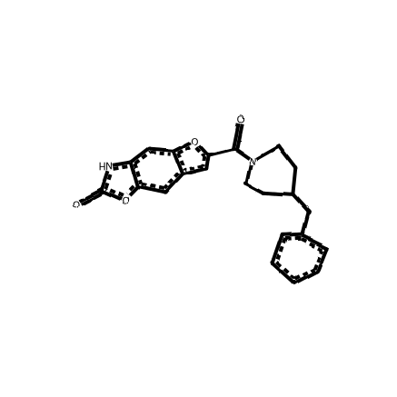 O=C(c1cc2cc3oc(=O)[nH]c3cc2o1)N1CCC(Cc2ccccc2)CC1